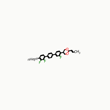 C/C=C/C1OCC(c2ccc(-c3ccc(-c4ccc(CCCCCCC)c(F)c4F)cc3)cc2F)CO1